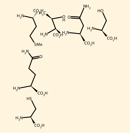 CSCC[C@H](N)C(=O)O.C[C@@H](O)[C@H](N)C(=O)O.NC(=O)CC[C@H](N)C(=O)O.NC(=O)C[C@H](N)C(=O)O.N[C@@H](CO)C(=O)O.N[C@@H](CS)C(=O)O